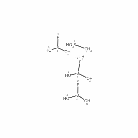 CS(=O)(=O)O.OB(O)F.OB(O)F.OB(O)F.[LiH]